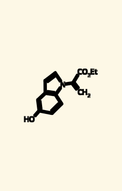 C=C(C(=O)OCC)n1ccc2cc(O)ccc21